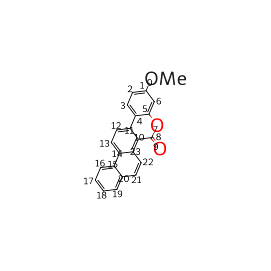 COc1ccc2c(c1)oc(=O)c1c2ccc2c3ccccc3ccc21